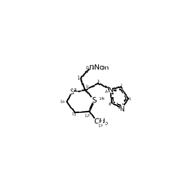 CCCCCCCCCCC1(Cn2ccnc2)SCCC(C)S1